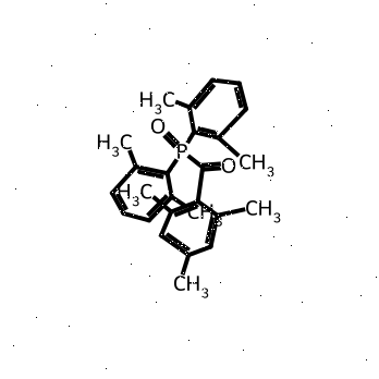 Cc1cc(C)c(C(=O)P(=O)(c2c(C)cccc2C)c2c(C)cccc2C)c(C)c1